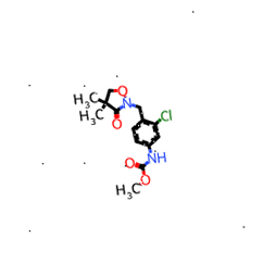 COC(=O)Nc1ccc(CN2OCC(C)(C)C2=O)c(Cl)c1